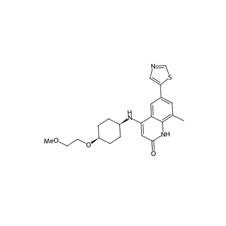 COCCO[C@H]1CC[C@@H](Nc2cc(=O)[nH]c3c(C)cc(-c4cncs4)cc23)CC1